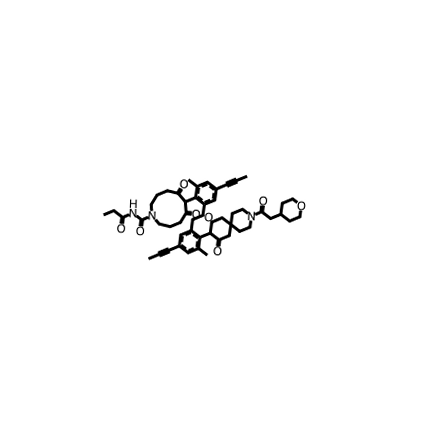 CC#Cc1cc(C)c(C2C(=O)CCCN(C(=O)NC(=O)CC)CCCC2=O)c(CCc2cc(C#CC)cc(C)c2C2C(=O)CC3(CCN(C(=O)CC4CCOCC4)CC3)CC2=O)c1